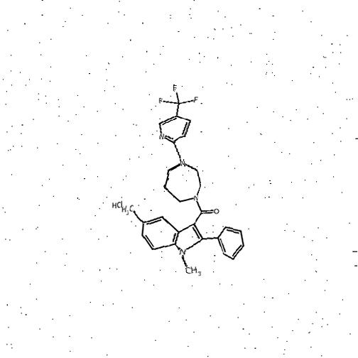 Cc1ccc2c(c1)c(C(=O)N1CCCN(c3ccc(C(F)(F)F)cn3)CC1)c(-c1ccccc1)n2C.Cl